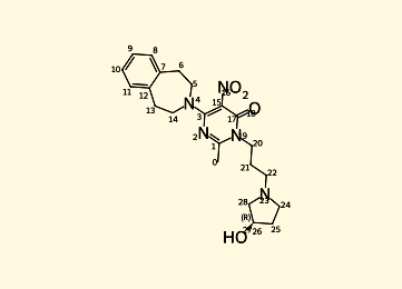 Cc1nc(N2CCc3ccccc3CC2)c([N+](=O)[O-])c(=O)n1CCCN1CC[C@@H](O)C1